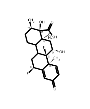 C[C@@H]1CCC2C3C[C@H](F)C4=CC(=O)C=C[C@]4(C)[C@@]3(F)[C@@H](O)C[C@]2(C)[C@@]1(O)C(=O)S